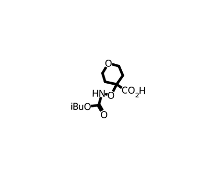 CC(C)COC(=O)NOC1(C(=O)O)CCOCC1